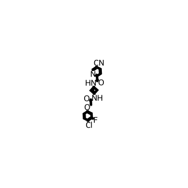 N#Cc1ccc(C(=O)NC23CC(NC(=O)COc4ccc(Cl)c(F)c4)(C2)C3)nc1